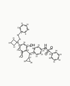 O=c1oc(C2(CCc3ccccc3)CCC2)cc(O)c1C(c1ccc(NS(=O)(=O)c2ccccc2)cc1)C1CC1